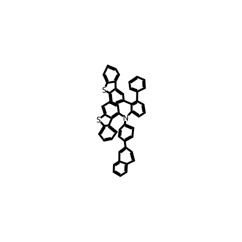 c1ccc(-c2cccc(N(c3ccc(-c4ccc5ccccc5c4)cc3)c3cccc4sc5ccccc5c34)c2-c2ccc3sc4ccccc4c3c2)cc1